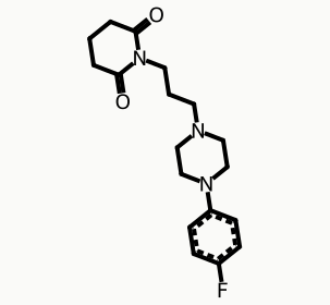 O=C1CCCC(=O)N1CCCN1CCN(c2ccc(F)cc2)CC1